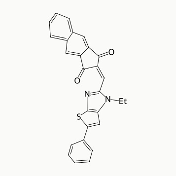 CCn1c(C=C2C(=O)c3cc4ccccc4cc3C2=O)nc2sc(-c3ccccc3)cc21